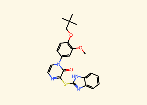 COc1cc(-n2ccnc(Sc3nc4ccccc4[nH]3)c2=O)ccc1OCC(C)(C)C